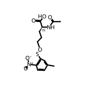 CC(=O)N[C@@H](CCCOSc1cc(C)ccc1[N+](=O)[O-])C(=O)O